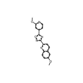 COc1ccc2nc(-c3noc(-c4ccnc(OC)c4)n3)ccc2c1